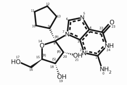 Nc1nc2c(ncn2[C@]2(C3CCCC3)O[C@H](CO)[C@@H](O)[C@H]2O)c(=O)[nH]1